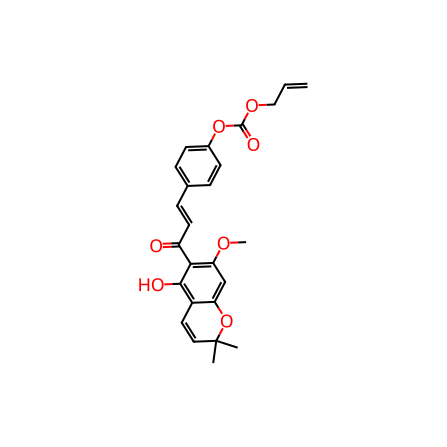 C=CCOC(=O)Oc1ccc(C=CC(=O)c2c(OC)cc3c(c2O)C=CC(C)(C)O3)cc1